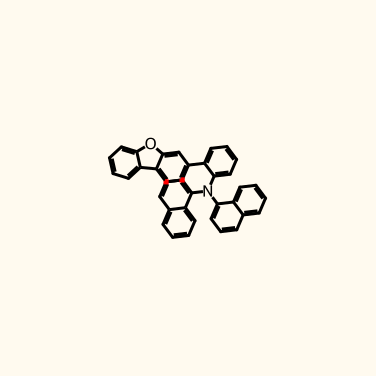 c1ccc(N(c2cccc3ccccc23)c2cccc3ccccc23)c(-c2ccc3c(c2)oc2ccccc23)c1